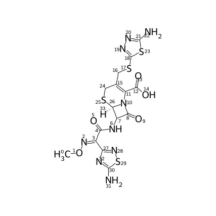 CO/N=C(/C(=O)NC1C(=O)N2C(C(=O)O)=C(CSc3nnc(N)s3)CS[C@H]12)c1nsc(N)n1